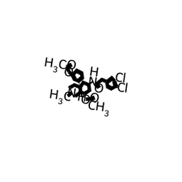 CC(=O)Oc1cccc([C@@]23CCN(C)C[C@H]2C(OC(C)=O)C[C@H](NC(=O)Cc2ccc(Cl)c(Cl)c2)C3)c1